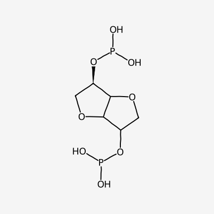 OP(O)OC1COC2C1OC[C@H]2OP(O)O